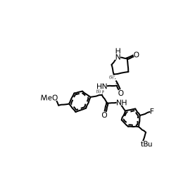 COCc1ccc([C@H](NC(=O)[C@@H]2CNC(=O)C2)C(=O)Nc2ccc(CC(C)(C)C)c(F)c2)cc1